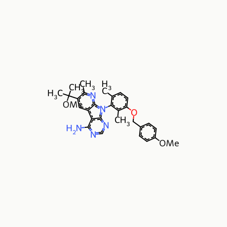 COc1ccc(COc2ccc(C)c(-n3c4nc(C)c(C(C)(C)OC)cc4c4c(N)ncnc43)c2C)cc1